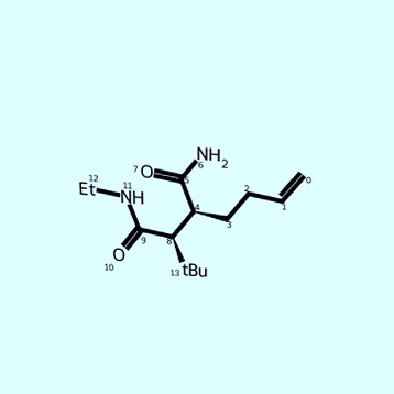 C=CCC[C@H](C(N)=O)[C@H](C(=O)NCC)C(C)(C)C